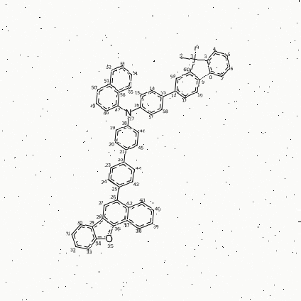 CC1(C)c2ccccc2-c2ccc(-c3ccc(N(c4ccc(-c5ccc(-c6cc7c8ccccc8oc7c7ccccc67)cc5)cc4)c4cccc5ccccc45)cc3)cc21